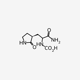 NC(=O)C(C[C@@H]1CCNC1=O)NC(=O)O